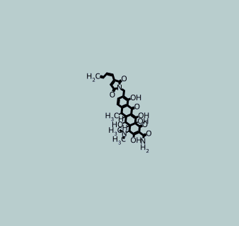 C=C/C=C\C1=CC(=O)N(Cc2ccc3c(c2O)C(=O)C2=C(O)[C@]4(O)C(=O)C(C(N)=O)=C(O)[C@@H](N(C)C)[C@@H]4[C@@H](O)[C@@H]2[C@H]3C)C1=O